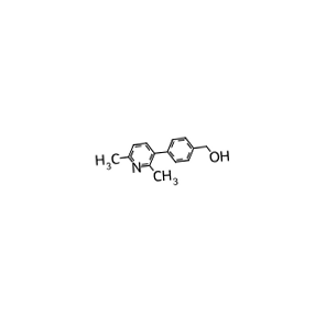 Cc1ccc(-c2ccc(CO)cc2)c(C)n1